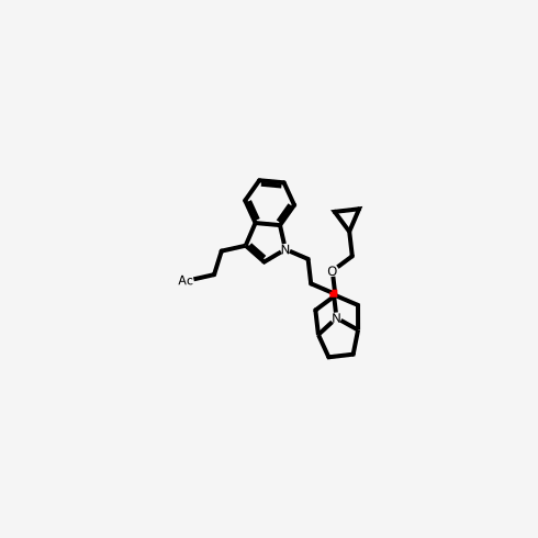 CC(=O)CCc1cn(CCCN2C3CCC2CC(OCC2CC2)C3)c2ccccc12